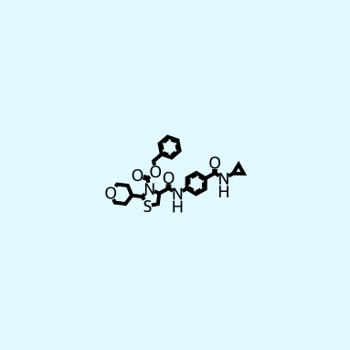 O=C(NC1CC1)c1ccc(NC(=O)C2CSC(C3CCOCC3)N2C(=O)OCc2ccccc2)cc1